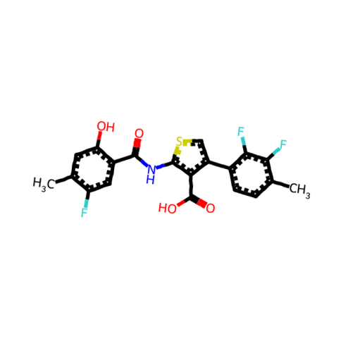 Cc1cc(O)c(C(=O)Nc2scc(-c3ccc(C)c(F)c3F)c2C(=O)O)cc1F